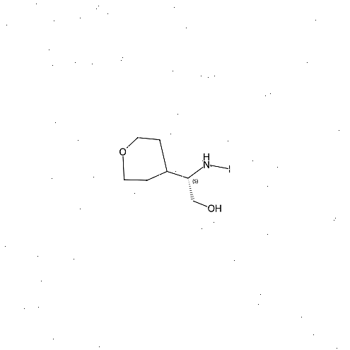 OC[C@@H](NI)C1CCOCC1